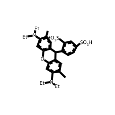 CCN(CC)c1cc2c([c]c1C)C(c1ccc(S(=O)(=O)O)cc1S(=O)(=O)O)c1cc(C)c(N(CC)CC)cc1O2